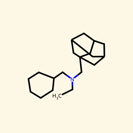 CCN(CC1CCCCC1)CC12CC3CC(CC(C3)C1)C2